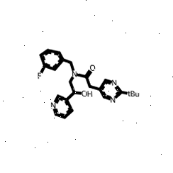 CC(C)(C)c1ncc(CC(=O)N(Cc2cccc(F)c2)CC(O)c2cccnc2)cn1